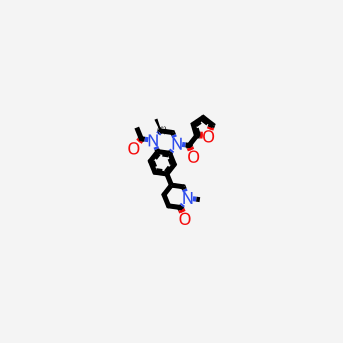 CC(=O)N1c2ccc(C3CCC(=O)N(C)C3)cc2N(C(=O)c2ccco2)C[C@@H]1C